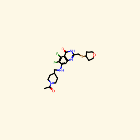 CC(=O)N1CCC(CNc2cc3nc(CSC4CCOCC4)[nH]c(=O)c3c(F)c2F)CC1